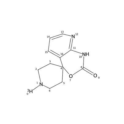 [2H]N1CCC2(CC1)OC(=O)Nc1ncccc12